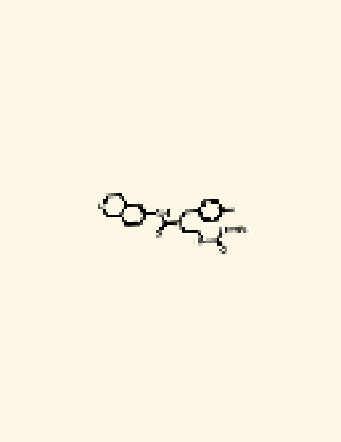 CC(C)(C)OC(=O)NCCN(Cc1ccc(F)cc1)C(=S)NC1=CC2CC=NCC2C=C1